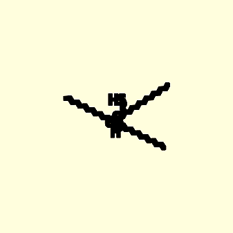 CCCCCCCCCCCCO[SiH](OCCCCCCCCCCCC)OCC(CCS)CCCCCCCCCCCC